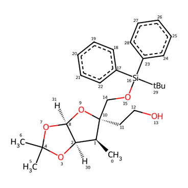 C[C@H]1[C@H]2OC(C)(C)O[C@H]2O[C@@]1(CCO)CO[Si](c1ccccc1)(c1ccccc1)C(C)(C)C